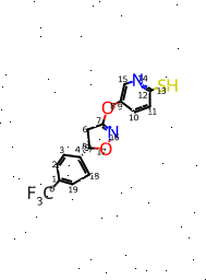 FC(F)(F)c1ccc([C@@H]2CC(Oc3ccc(S)nc3)=NO2)cc1